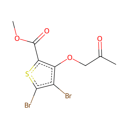 COC(=O)c1sc(Br)c(Br)c1OCC(C)=O